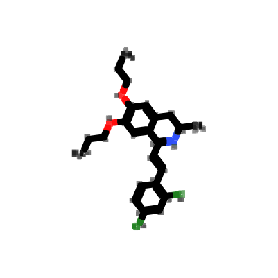 CCCOc1cc2c(cc1OCCC)C(C=Cc1ccc(Cl)cc1Cl)=NC(C)C2